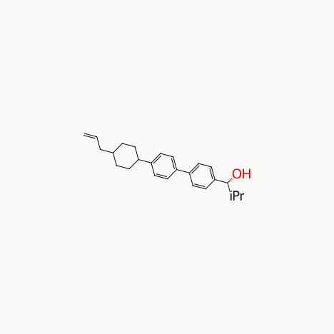 C=CCC1CCC(c2ccc(-c3ccc(C(O)C(C)C)cc3)cc2)CC1